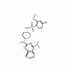 CN(C)c1nc(N[C@H]2CC[C@@H](NS(=O)(=O)c3ccc(Br)cc3OC(F)(F)F)CC2)nc2ccccc12